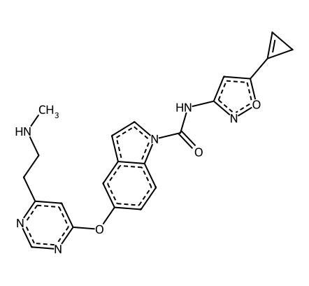 CNCCc1cc(Oc2ccc3c(ccn3C(=O)Nc3cc(C4=CC4)on3)c2)ncn1